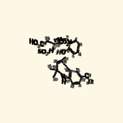 CCCCCCCCCc1ccccc1O.CCOc1ccc2c(c1)C(C)=CC(C)(C)N2.O=C(O)CC(C(=O)O)S(=O)(=O)O